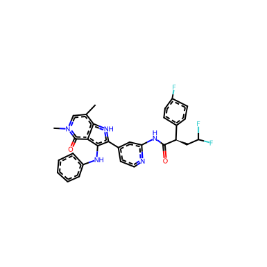 Cc1cn(C)c(=O)c2c(Nc3ccccc3)c(-c3ccnc(NC(=O)[C@H](CC(F)F)c4ccc(F)cc4)c3)[nH]c12